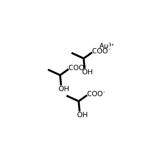 CC(O)C(=O)[O-].CC(O)C(=O)[O-].CC(O)C(=O)[O-].[Au+3]